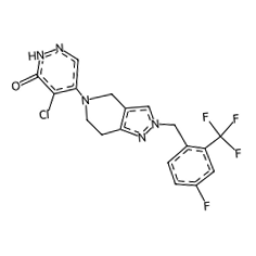 O=c1[nH]ncc(N2CCc3nn(Cc4ccc(F)cc4C(F)(F)F)cc3C2)c1Cl